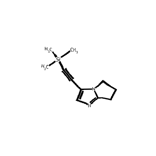 C[Si](C)(C)C#Cc1cnc2n1CCC2